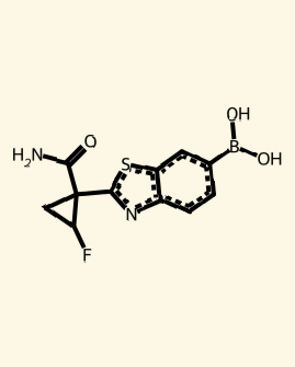 NC(=O)C1(c2nc3ccc(B(O)O)cc3s2)CC1F